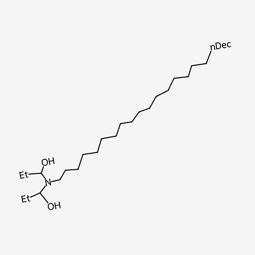 CCCCCCCCCCCCCCCCCCCCCCCCCCCN(C(O)CC)C(O)CC